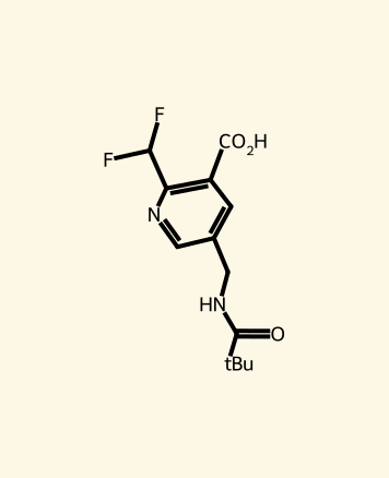 CC(C)(C)C(=O)NCc1cnc(C(F)F)c(C(=O)O)c1